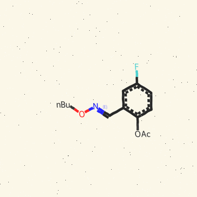 CCCCO/N=C/c1cc(F)ccc1OC(C)=O